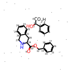 O=C(O)C(O)c1ccccc1.O=C(OCc1ccccc1)C1Cc2ccccc2CN1